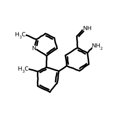 Cc1cccc(-c2c(C)cccc2-c2ccc(N)c(C=N)c2)n1